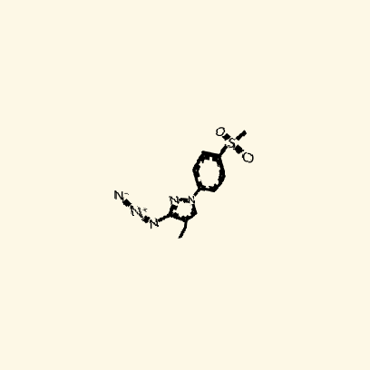 Cc1cn(-c2ccc(S(C)(=O)=O)cc2)nc1N=[N+]=[N-]